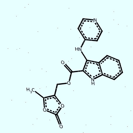 Cc1oc(=O)oc1COC(=O)c1[nH]c2ccccc2c1Nc1ccncc1